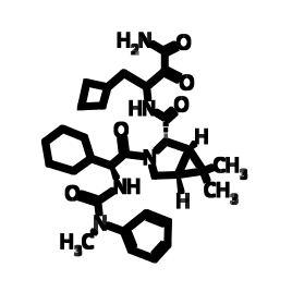 CN(C(=O)N[C@H](C(=O)N1C[C@@H]2[C@H]([C@H]1C(=O)NC(CC1CCC1)C(=O)C(N)=O)C2(C)C)C1CCCCC1)c1ccccc1